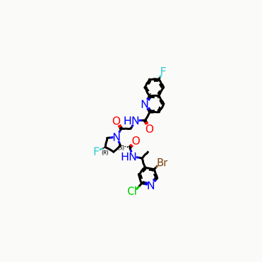 CC(NC(=O)[C@@H]1C[C@@H](F)CN1C(=O)CNC(=O)c1ccc2cc(F)ccc2n1)c1cc(Cl)ncc1Br